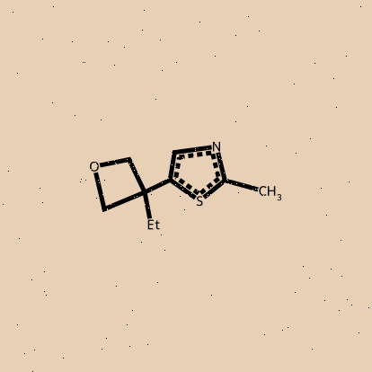 CCC1(c2cnc(C)s2)COC1